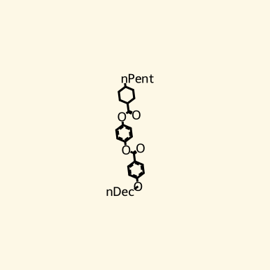 CCCCCCCCCCOc1ccc(C(=O)Oc2ccc(OC(=O)C3CCC(CCCCC)CC3)cc2)cc1